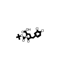 CC(C)(C)OC(=O)N1C(=O)C(Cc2ccc(Cl)c(Cl)c2)CC1C(=O)O